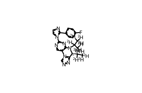 [2H]C([2H])([2H])C([2H])([2H])[C@H]1c2nncn2-c2cnc(-n3ccnc3-c3ccc(F)cc3)nc2N1C([2H])(C([2H])([2H])[2H])C([2H])([2H])[2H]